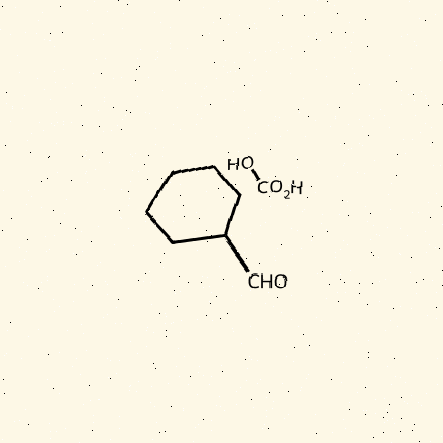 O=C(O)O.O=CC1CCCCC1